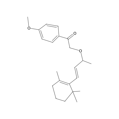 COc1ccc(C(=O)COC(C)C=CC2=C(C)CCCC2(C)C)cc1